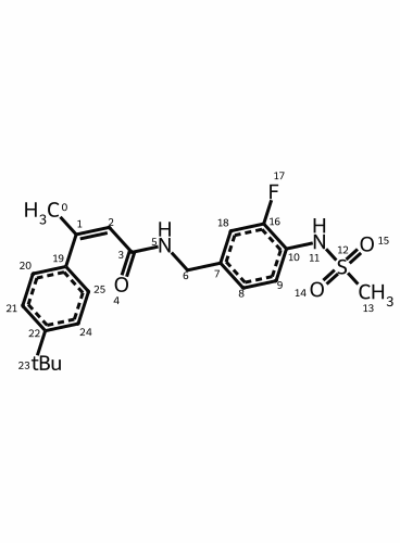 C/C(=C/C(=O)NCc1ccc(NS(C)(=O)=O)c(F)c1)c1ccc(C(C)(C)C)cc1